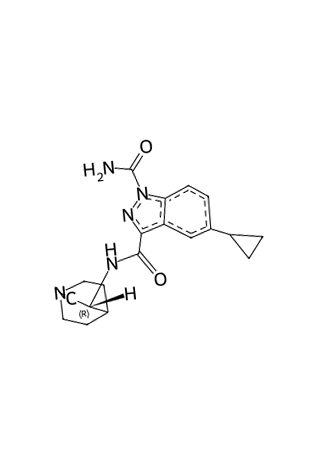 NC(=O)n1nc(C(=O)N[C@H]2CN3CCC2CC3)c2cc(C3CC3)ccc21